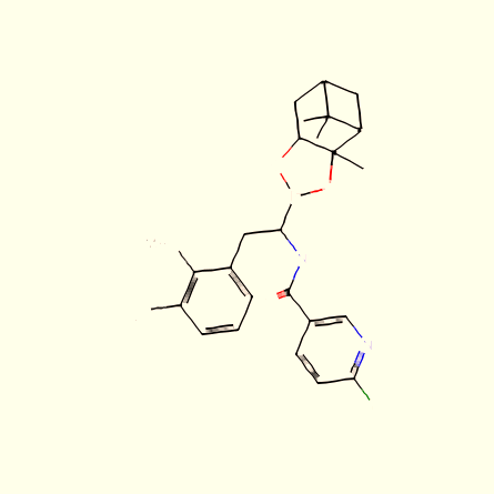 COc1c(CC(NC(=O)c2ccc(Cl)nc2)B2OC3CC4CC(C4(C)C)C3(C)O2)cccc1C(=O)O